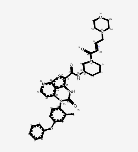 Cc1cc(Oc2ccccc2)ccc1N1C(=O)Nc2c(C(=O)N[C@@H]3CCCN(C(=O)/C=C/CN4CCOCC4)C3)sc3nccc1c23